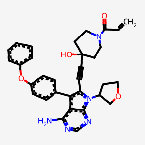 C=CC(=O)N1CCC(O)(C#Cc2c(-c3ccc(Oc4ccccc4)cc3)c3c(N)ncnc3n2C2CCOC2)CC1